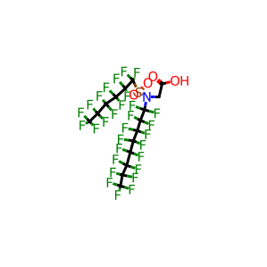 O=C(O)CN(C(F)(F)C(F)(F)C(F)(F)C(F)(F)C(F)(F)C(F)(F)C(F)(F)C(F)(F)F)S(=O)(=O)C(F)(F)C(F)(F)C(F)(F)C(F)(F)C(F)(F)C(F)(F)F